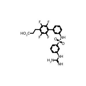 N=C(N)Nc1cccc(S(=O)(=O)Nc2cccc(-c3c(F)c(F)c(CCC(=O)O)c(F)c3F)c2)c1